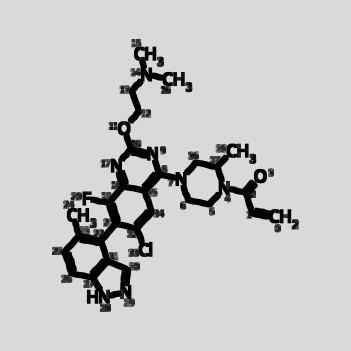 C=CC(=O)N1CCN(c2nc(OCCN(C)C)nc3c(F)c(-c4c(C)ccc5[nH]ncc45)c(Cl)cc23)CC1C